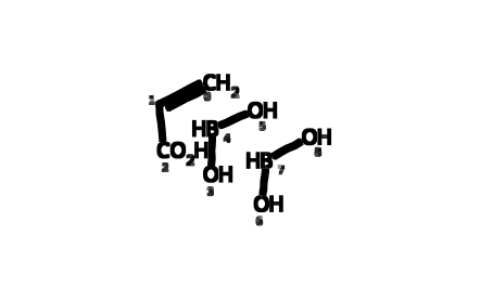 C=CC(=O)O.OBO.OBO